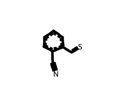 N#Cc1ccccc1C=S